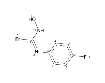 CC(C)C(=Nc1ccc(F)cc1)NO